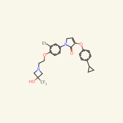 CCc1cc(N2CC=C(Oc3ccc(C4CC4)cc3)C2=O)ccc1OCCN1CC(O)(C(F)(F)F)C1